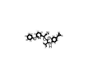 CC(C)C(Nc1ccc(C2CC2)cc1)C(=O)OC(C#N)c1cccc(Oc2ccccc2)n1